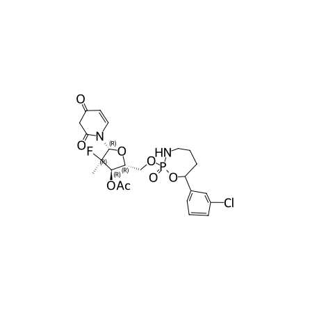 CC(=O)O[C@@H]1[C@@H](COP2(=O)NCCCC(c3cccc(Cl)c3)O2)O[C@@H](N2C=CC(=O)CC2=O)[C@]1(C)F